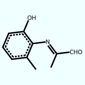 C/C(C=O)=N\c1c(C)cccc1O